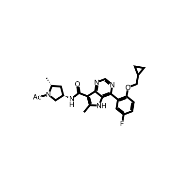 CC(=O)N1C[C@@H](NC(=O)c2c(C)[nH]c3c(-c4cc(F)ccc4OCC4CC4)ncnc23)C[C@H]1C